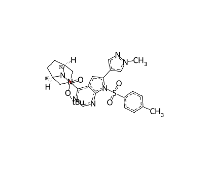 Cc1ccc(S(=O)(=O)n2c(-c3cnn(C)c3)cc3c(N4C[C@H]5CC[C@@H](C4)N5C(=O)OC(C)(C)C)ncnc32)cc1